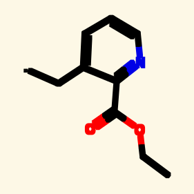 [CH2]Cc1cccnc1C(=O)OCC